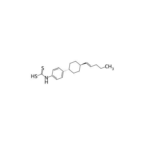 CCCC=C[C@H]1CC[C@H](c2ccc(NC(=S)S)cc2)CC1